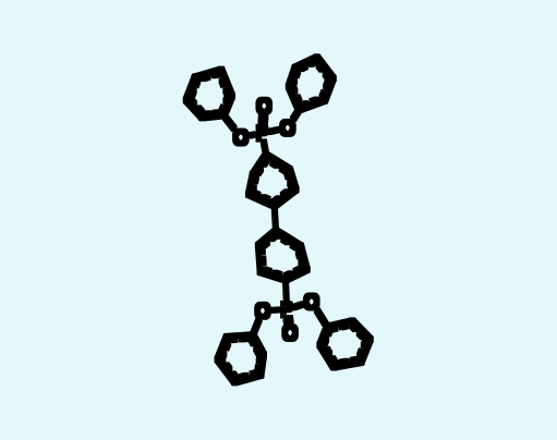 O=P(Oc1ccccc1)(Oc1ccccc1)c1ccc(-c2ccc(P(=O)(Oc3ccccc3)Oc3ccccc3)cc2)cc1